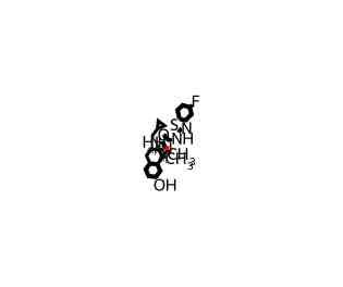 CN(C(=O)Nc1nc2cc(F)ccc2s1)[C@@H]1[C@H]2Cc3ccc(O)cc3[C@@]1(C)CCN2CC1CC1